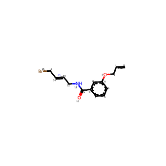 C=CCOc1cccc(C(=O)NC/C=C/CBr)c1